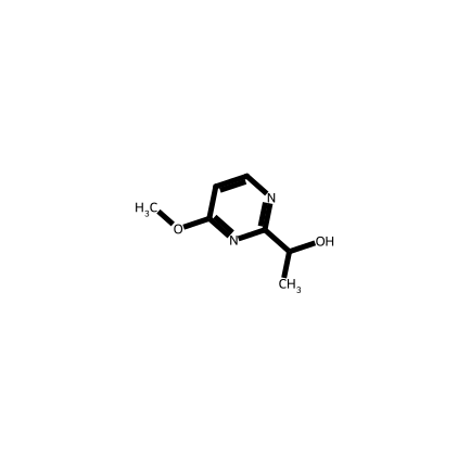 COc1ccnc(C(C)O)n1